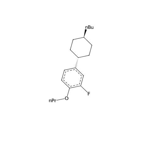 CCCC[C@H]1CC[C@H](c2ccc(OCCC)c(F)c2)CC1